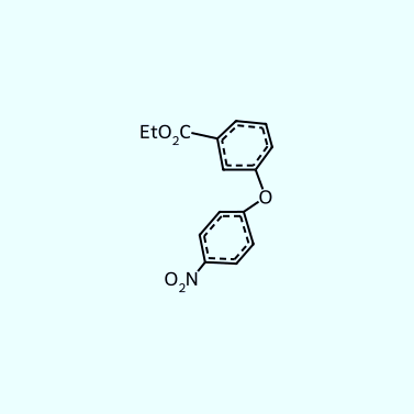 CCOC(=O)c1cccc(Oc2ccc([N+](=O)[O-])cc2)c1